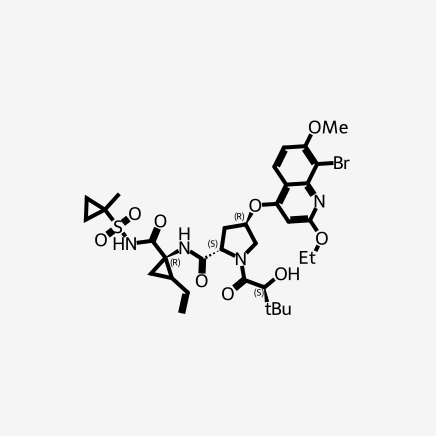 C=CC1C[C@]1(NC(=O)[C@@H]1C[C@@H](Oc2cc(OCC)nc3c(Br)c(OC)ccc23)CN1C(=O)[C@@H](O)C(C)(C)C)C(=O)NS(=O)(=O)C1(C)CC1